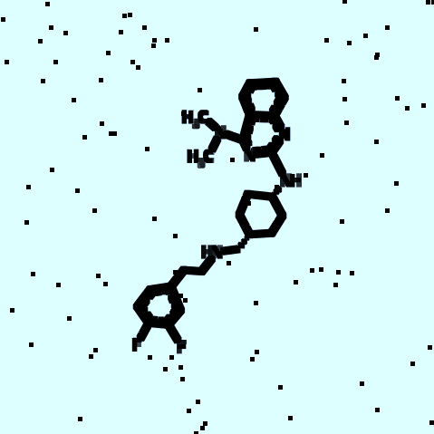 CN(C)c1nc(N[C@H]2CC[C@@H](CNCCc3ccc(F)c(F)c3)CC2)nc2ccccc12